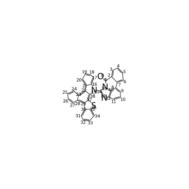 O=c1c2ccccc2c2cccc3nc(-n4c5ccccc5c5c6ccccc6c6c7ccccc7sc6c54)n1c32